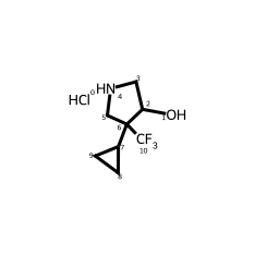 Cl.OC1CNCC1(C1CC1)C(F)(F)F